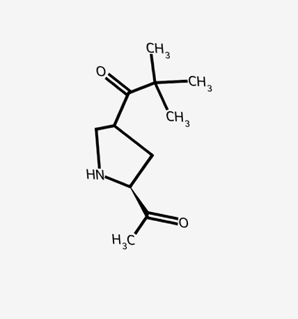 CC(=O)[C@@H]1CC(C(=O)C(C)(C)C)CN1